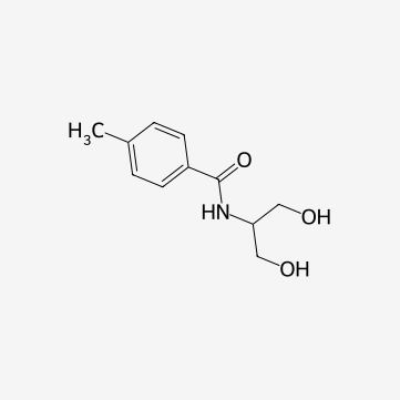 Cc1ccc(C(=O)NC(CO)CO)cc1